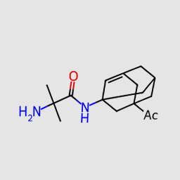 CC(=O)C12CC3=CC(NC(=O)C(C)(C)N)(CC(C3)C1)C2